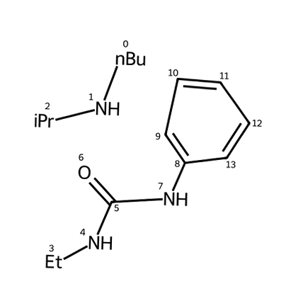 CCCCNC(C)C.CCNC(=O)Nc1ccccc1